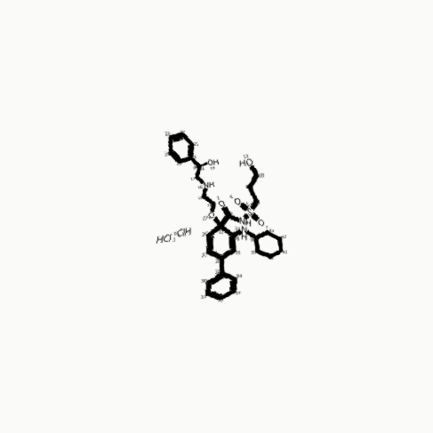 Cl.Cl.O=C(NS(=O)(=O)CCCO)C1(OCCNC[C@H](O)c2ccccc2)C=CC(c2ccccc2)C=C1NC1CCCCC1